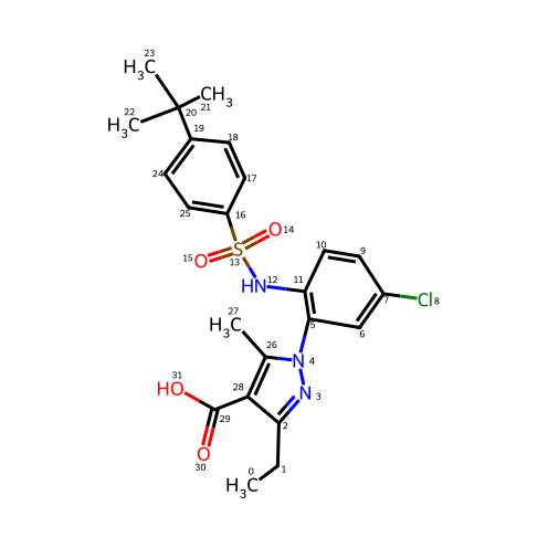 CCc1nn(-c2cc(Cl)ccc2NS(=O)(=O)c2ccc(C(C)(C)C)cc2)c(C)c1C(=O)O